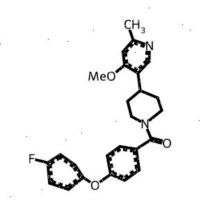 COc1cc(C)ncc1C1CCN(C(=O)c2ccc(Oc3ccc(F)cc3)cc2)CC1